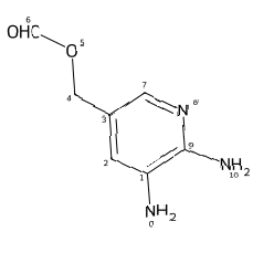 Nc1cc(COC=O)cnc1N